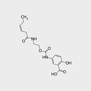 CC/C=C\CC(=O)NCCOC(=O)Nc1ccc(O)c(C(=O)O)c1